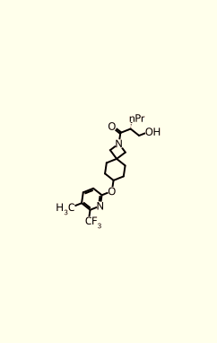 CCC[C@H](CO)C(=O)N1CC2(CCC(Oc3ccc(C)c(C(F)(F)F)n3)CC2)C1